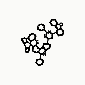 c1ccc(-c2nc(-c3ccc4nc(-c5ccccc5)c5ccc6c(c5c4c3)Sc3ccccc3C63c4ccccc4-c4ccccc43)cc(-c3cccc4oc5ccccc5c34)n2)cc1